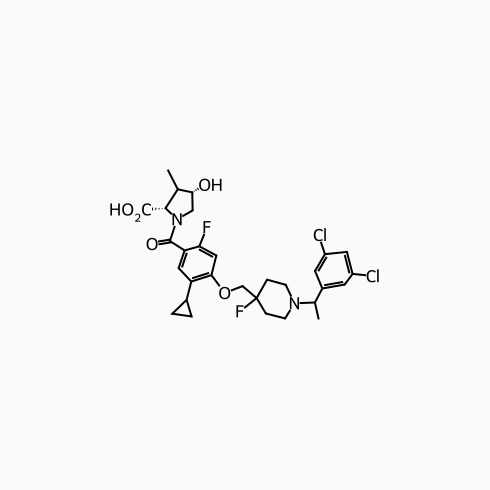 CC1[C@H](O)CN(C(=O)c2cc(C3CC3)c(OCC3(F)CCN(C(C)c4cc(Cl)cc(Cl)c4)CC3)cc2F)[C@@H]1C(=O)O